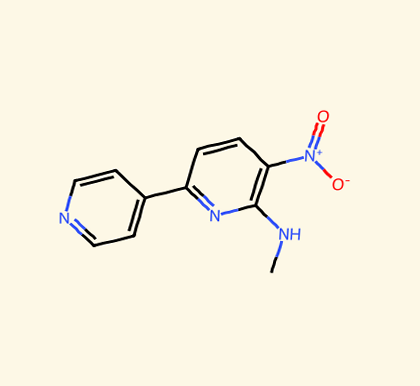 CNc1nc(-c2ccncc2)ccc1[N+](=O)[O-]